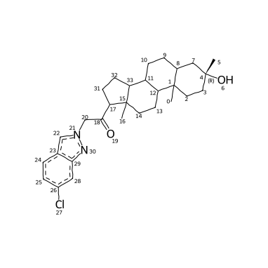 CC12CC[C@@](C)(O)CC1CCC1C2CCC2(C)C(C(=O)Cn3cc4ccc(Cl)cc4n3)CCC12